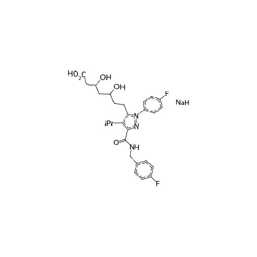 CC(C)c1c(C(=O)NCc2ccc(F)cc2)nn(-c2ccc(F)cc2)c1CCC(O)CC(O)CC(=O)O.[NaH]